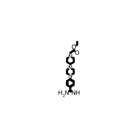 CCOC(=O)CN1CCC(N2CCN(c3ccc(C(=N)N)cc3)CC2)CC1